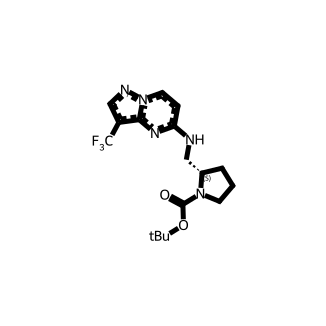 CC(C)(C)OC(=O)N1CCC[C@H]1CNc1ccn2ncc(C(F)(F)F)c2n1